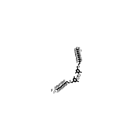 Cc1cc(CSCCC(F)(F)C(F)(F)C(F)(F)C(F)(F)C(F)(F)C(F)(F)C(F)(F)C(F)(F)F)cc(C)c1OCOc1c(C)cc(CSCCC(F)(F)C(F)(F)C(F)(F)C(F)(F)C(F)(F)C(F)(F)C(F)(F)C(F)(F)F)cc1C